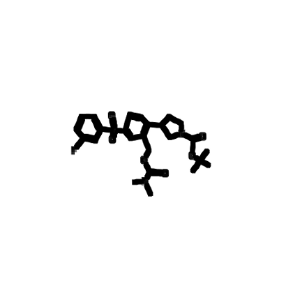 CN(C)C(=O)OCc1cc(S(=O)(=O)c2cccc(F)c2)ccc1C1CCN(C(=O)OC(C)(C)C)C1